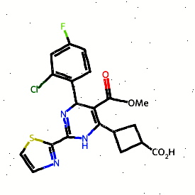 COC(=O)C1=C(C2CC(C(=O)O)C2)NC(c2nccs2)=NC1c1ccc(F)cc1Cl